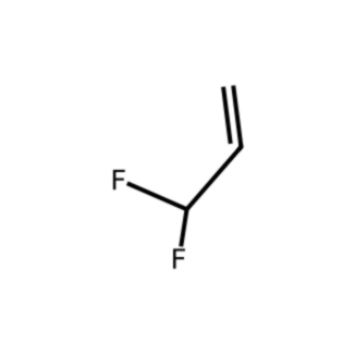 C=CC(F)F